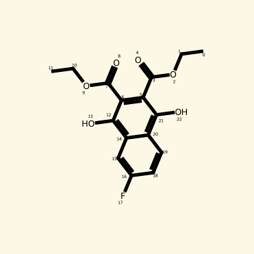 CCOC(=O)c1c(C(=O)OCC)c(O)c2cc(F)ccc2c1O